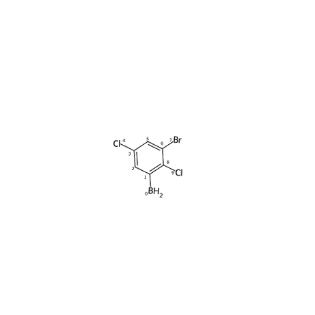 Bc1cc(Cl)cc(Br)c1Cl